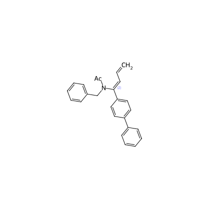 C=C/C=C(/c1ccc(-c2ccccc2)cc1)N(Cc1ccccc1)C(C)=O